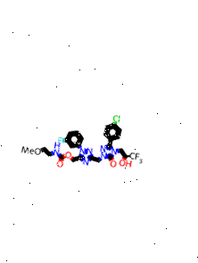 COCCNC(=O)OCc1nc(Cn2nc(-c3ccc(Cl)cc3)n(C[C@H](O)C(F)(F)F)c2=O)nn1-c1cccc(F)c1